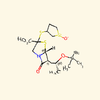 C[C@@H](O[Si](C)(C)C(C)(C)C)[C@H]1C(=O)N2CC(SC3CC[S+]([O-])C3)(C(=O)O)S[C@H]12